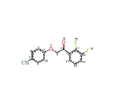 O=C(COc1ccc(Cl)cc1)c1cccc(F)c1F